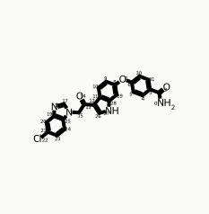 NC(=O)c1ccc(Oc2ccc3c(C(=O)Cn4cnc5cc(Cl)ccc54)c[nH]c3c2)cc1